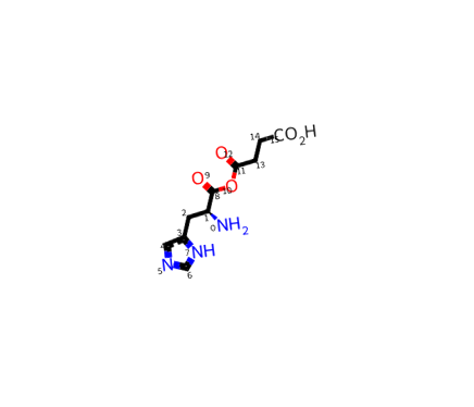 N[C@@H](Cc1cnc[nH]1)C(=O)OC(=O)CCC(=O)O